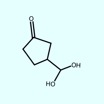 O=C1CCC(C(O)O)C1